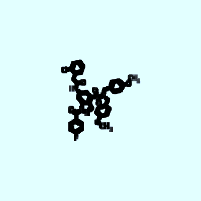 COc1ccc(CN(Cc2ccc(OC)cc2)S(=O)(=O)c2cc(NC(=O)Cc3ccccc3Cl)cc3c2cnn3C(=O)c2ccc(F)cc2)cc1